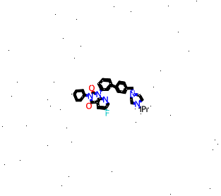 CC(C)N1CCN(Cc2ccc(-c3cccc(-n4c(=O)n(C5CC[CH]CC5)c(=O)c5cc(F)cnc54)c3)cc2)CC1